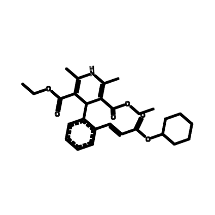 CCOC(=O)C1=C(C)NC(C)=C(C(=O)OCC)C1c1ccccc1/C=C/C(=O)OC1CCCCC1